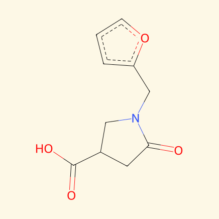 O=C(O)C1CC(=O)N(Cc2ccco2)C1